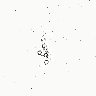 NCCN1CCN(c2ccc3nc(Nc4cc(Cc5ccccc5)nc(N[C@H]5CC[C@H](O)CC5)n4)sc3n2)CC1